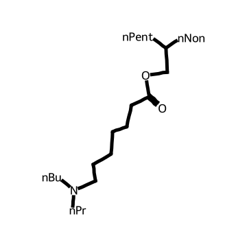 CCCCCCCCCC(CCCCC)COC(=O)CCCCCCN(CCC)CCCC